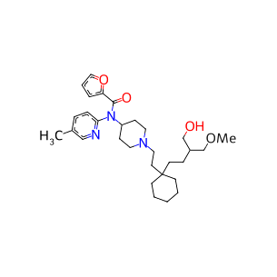 COCC(CO)CCC1(CCN2CCC(N(C(=O)c3ccco3)c3ccc(C)cn3)CC2)CCCCC1